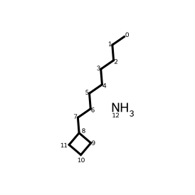 CCCCCCCCC1CCC1.N